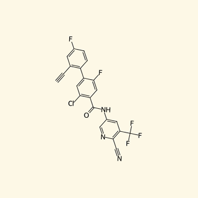 C#Cc1cc(F)ccc1-c1cc(Cl)c(C(=O)Nc2cnc(C#N)c(C(F)(F)F)c2)cc1F